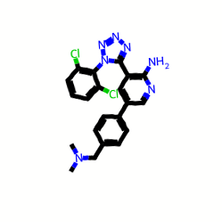 CN(C)Cc1ccc(-c2cnc(N)c(-c3nnnn3-c3c(Cl)cccc3Cl)c2)cc1